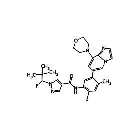 Cc1cc(F)c(NC(=O)c2cnn(C(F)C(C)(C)C)c2)cc1-c1cc(N2CCOCC2)c2nccn2c1